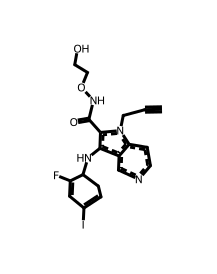 C#CCn1c(C(=O)NOCCO)c(NC2CC=C(I)C=C2F)c2cnccc21